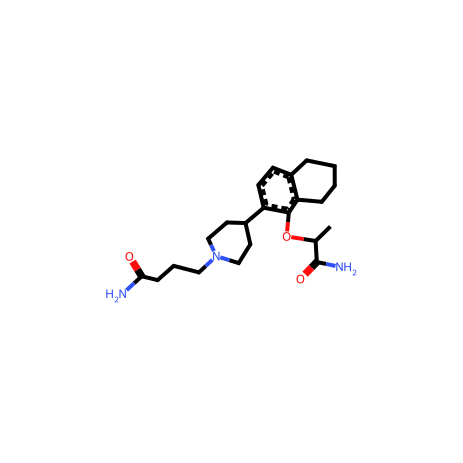 CC(Oc1c(C2CCN(CCCC(N)=O)CC2)ccc2c1CCCC2)C(N)=O